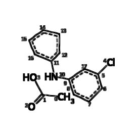 CC(=O)O.Clc1cccc(Nc2ccccc2)c1